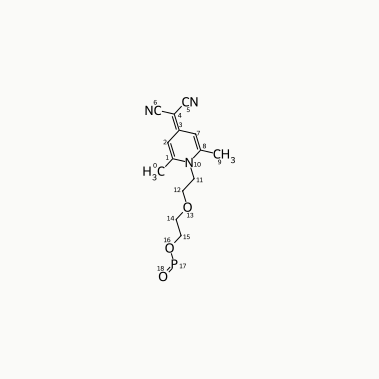 CC1=CC(=C(C#N)C#N)C=C(C)N1CCOCCOP=O